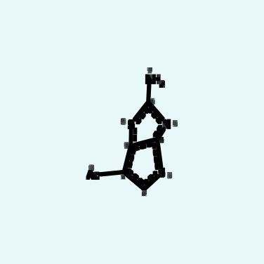 CC(=O)c1csc2nc(N)sc12